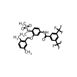 Cc1ccc(C)c(COc2cc(NC(=O)c3cc(C(F)(F)F)cc(C(F)(F)F)c3)ccc2N(C)S(C)(=O)=O)c1